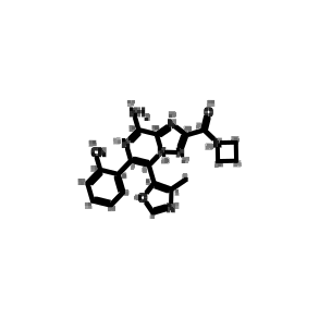 Cc1ncoc1-c1c(-c2ccccc2C#N)nc(N)c2nc(C(=O)N3CCC3)nn12